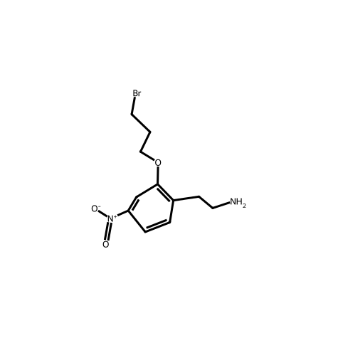 NCCc1ccc([N+](=O)[O-])cc1OCCCBr